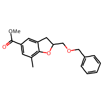 COC(=O)c1cc(C)c2c(c1)CC(COCc1ccccc1)O2